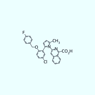 Cc1ccc(-c2cc(Cl)ccc2OCc2ccc(F)cc2)n1-c1cc2ccccc2c(C(=O)O)n1